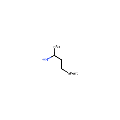 CCCCCCCC([NH])CCCC